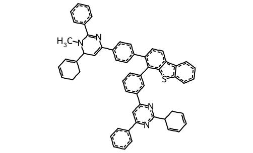 CN1C(c2ccccc2)=NC(c2ccc(-c3ccc4c(sc5ccccc54)c3-c3cccc(-c4cc(-c5ccccc5)nc(C5C=CC=CC5)n4)c3)cc2)=CC1C1=CC=CCC1